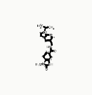 CC(C)N1CCc2cc(CNC(=O)c3ccc4c(c3)[nH]c(=O)n4C)cnc21